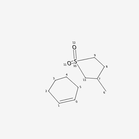 C1=CCCCC1.CC1CCS(=O)(=O)C1